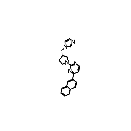 c1ccc2cc(-c3ccnc(N4CC[C@H](Cn5ccnc5)C4)n3)ccc2c1